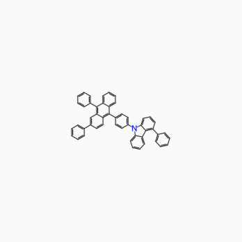 c1ccc(-c2ccc3c(-c4ccc(-n5c6ccccc6c6c(-c7ccccc7)cccc65)cc4)c4ccccc4c(-c4ccccc4)c3c2)cc1